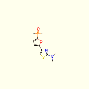 CN(C)c1nc(-c2ccc(P(C)(C)=O)o2)cs1